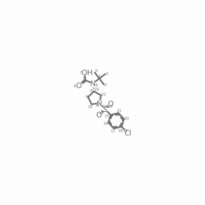 CC(C)(C)N(C(=O)O)[C@H]1CCN(S(=O)(=O)c2ccc(Cl)cc2)C1